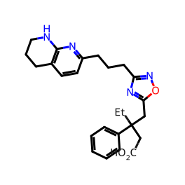 CCC(CC(=O)O)(Cc1nc(CCCc2ccc3c(n2)NCCC3)no1)c1ccccc1